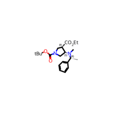 CCOC(=O)[C@@H]1CN(C(=O)OC(C)(C)C)C[C@H]1N(C)[C@H](C)c1ccccc1